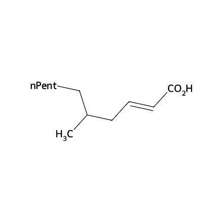 CCCCCCC(C)C/C=C/C(=O)O